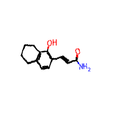 NC(=O)C=Cc1ccc2c(c1O)CCCC2